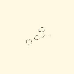 Cc1cc(C)cc(-c2ncn(/C=C(/C#N)c3ccncc3)n2)c1